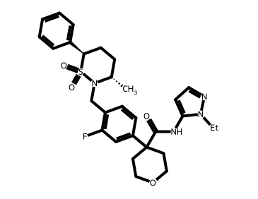 CCn1nccc1NC(=O)C1(c2ccc(CN3[C@@H](C)CC[C@H](c4ccccc4)S3(=O)=O)c(F)c2)CCOCC1